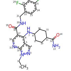 CCn1ncc2c(NC3CCC(C(N)=O)CC3)c(C(=O)NCc3ccc(F)cc3F)cnc21